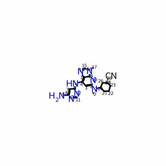 CN(c1cc(Nc2cc(N)ncn2)c2ncn(C)c2n1)C1CCC[C@@H](C#N)C1